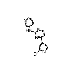 Clc1cc(-c2ccnc(Nc3cccnc3)n2)ccn1